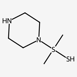 CS(C)(S)N1CCNCC1